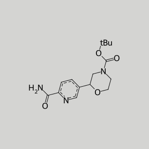 CC(C)(C)OC(=O)N1CCOC(c2ccc(C(N)=O)nc2)C1